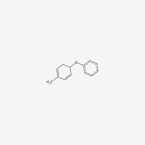 CC1=CCC(Oc2ccccc2)C=C1